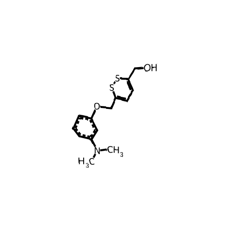 CN(C)c1cccc(OCC2=CC=C(CO)SS2)c1